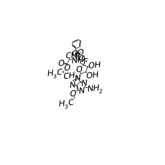 CCOc1nc(N)nc2c1ncn2[C@@H]1O[C@](F)(CO[P@](=O)(N[C@@H](C)C(=O)OC(C)C)Oc2ccccc2)[C@@H](O)[C@H]1O